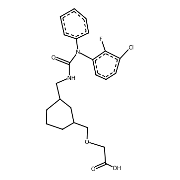 O=C(O)COCC1CCCC(CNC(=O)N(c2ccccc2)c2cccc(Cl)c2F)C1